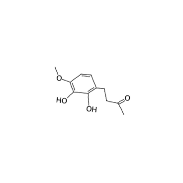 COc1ccc(CCC(C)=O)c(O)c1O